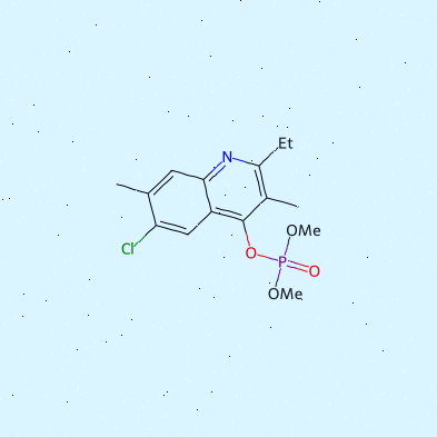 CCc1nc2cc(C)c(Cl)cc2c(OP(=O)(OC)OC)c1C